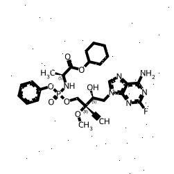 C#C[C@](COP(=O)(N[C@@H](C)C(=O)OC1CCCCC1)Oc1ccccc1)(OC)[C@@H](O)Cn1cnc2c(N)nc(F)nc21